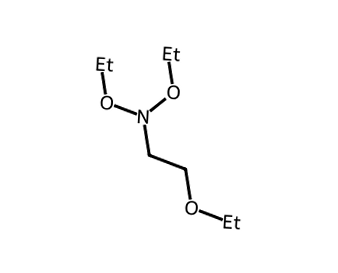 CCOCCN(OCC)OCC